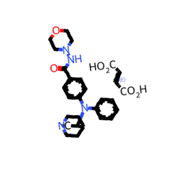 O=C(NN1CCOCC1)c1ccc(N(c2ccccc2)C2CN3CCC2CC3)cc1.O=C(O)/C=C/C(=O)O